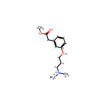 COC(=O)Cc1cccc(OCCCN(C)C)c1